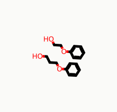 OCCCOc1ccccc1.OCCOc1ccccc1